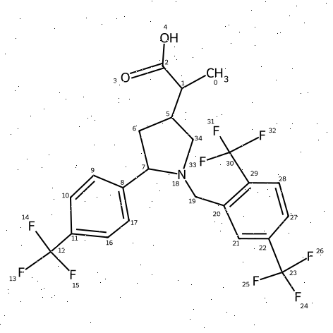 CC(C(=O)O)C1CC(c2ccc(C(F)(F)F)cc2)N(Cc2cc(C(F)(F)F)ccc2C(F)(F)F)C1